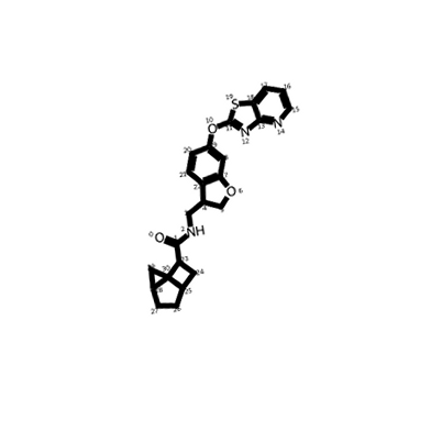 O=C(NCC1COc2cc(Oc3nc4ncccc4s3)ccc21)C1CC2CCC3CC231